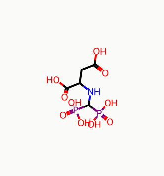 O=C(O)CC(NC(P(=O)(O)O)P(=O)(O)O)C(=O)O